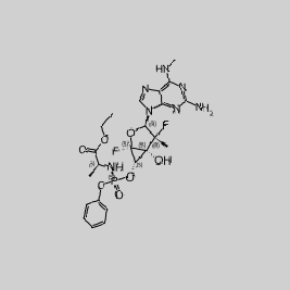 CCOC(=O)[C@H](C)N[P@@](=O)(Oc1ccccc1)O[C@H]1[C@]2(O)[C@@](C)(F)[C@H](n3cnc4c(NC)nc(N)nc43)O[C@]12F